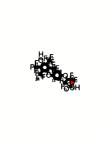 O=S(=O)(O)C(F)(F)C(Oc1ccc(Oc2c(C(F)(F)F)c(C(F)(F)F)c(O)c(C(F)(F)F)c2C(F)(F)F)cc1)C(F)(F)F